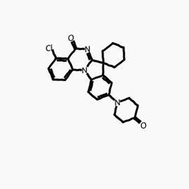 O=C1CCN(c2ccc3c(c2)C2(CCCCC2)c2nc(=O)c4c(Cl)cccc4n2-3)CC1